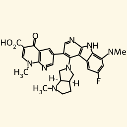 CNc1cc(F)cc2c1[nH]c1ncc(-c3cnc4c(c3)c(=O)c(C(=O)O)cn4C)c(N3C[C@H]4CCN(C)[C@H]4C3)c12